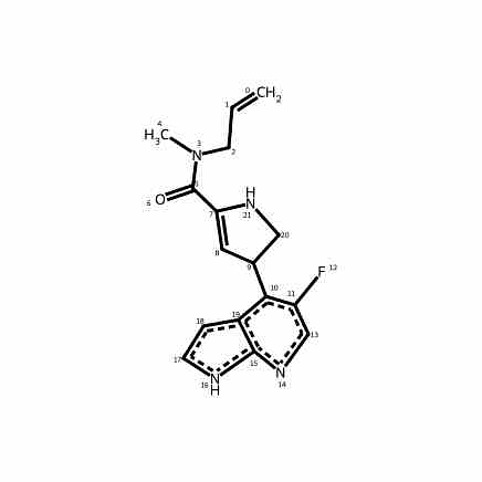 C=CCN(C)C(=O)C1=CC(c2c(F)cnc3[nH]ccc23)CN1